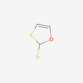 [S]C1OC=CS1